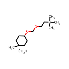 C[Si](C)(C)CCOCO[C@H]1CC[C@](C)(C(=O)O)CC1